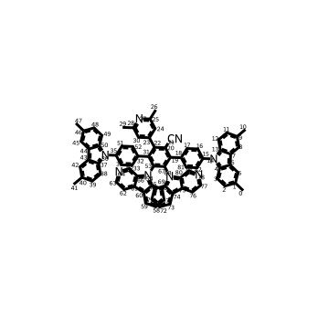 Cc1ccc2c(c1)c1cc(C)ccc1n2-c1ccc(-c2c(C#N)c(-c3cc(C)nc(C)c3)c(-c3ccc(-n4c5ccc(C)cc5c5cc(C)ccc54)cc3)c(-n3c4ccccc4c4ccncc43)c2-n2c3ccccc3c3ccncc32)cc1